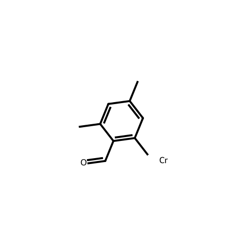 Cc1cc(C)c(C=O)c(C)c1.[Cr]